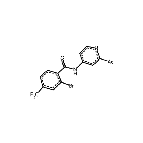 CC(=O)c1cc(NC(=O)c2ccc(C(F)(F)F)cc2Br)ccn1